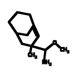 COC(N)C1(C)C=C2CCCC(C2)C1